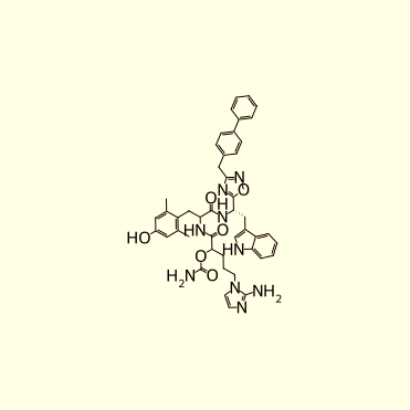 Cc1cc(O)cc(C)c1CC(NC(=O)C(CCCn1ccnc1N)OC(N)=O)C(=O)N[C@@H](Cc1c[nH]c2ccccc12)c1nc(Cc2ccc(-c3ccccc3)cc2)no1